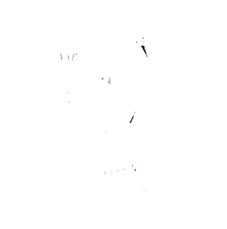 O=C(O)N1C[C@@H]2CC[C@@](C(O)C[N+](=O)[O-])(C2)C1